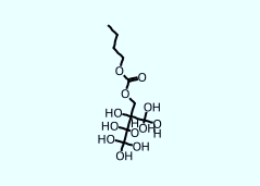 CCCCOC(=O)OCC(O)(C(O)(O)O)C(O)(O)C(O)(O)O